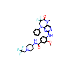 COc1cc(C(=O)NC2CCN(CC(F)(F)F)CC2)ccc1Nc1ncc2c(n1)N(c1ccccc1)CC(F)(F)C(=O)N2C